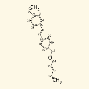 C=Cc1ccc(C=Cc2ccc(COCC=CCC)cc2)cc1